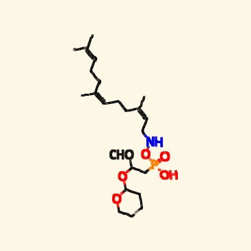 CC(C)=CCCC(C)=CCCC(C)=CCNOP(=O)(O)CC(C=O)OC1CCCCO1